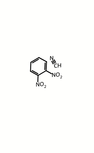 C#N.O=[N+]([O-])c1ccccc1[N+](=O)[O-]